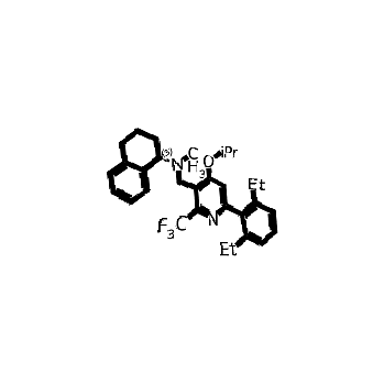 CCc1cccc(CC)c1-c1cc(OC(C)C)c(CN(C)[C@H]2CCCc3ccccc32)c(C(F)(F)F)n1